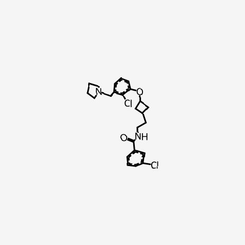 O=C(NCCC1CC(Oc2cccc(CN3CCCC3)c2Cl)C1)c1cccc(Cl)c1